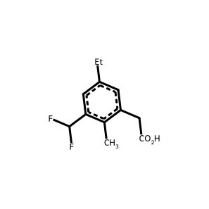 CCc1cc(CC(=O)O)c(C)c(C(F)F)c1